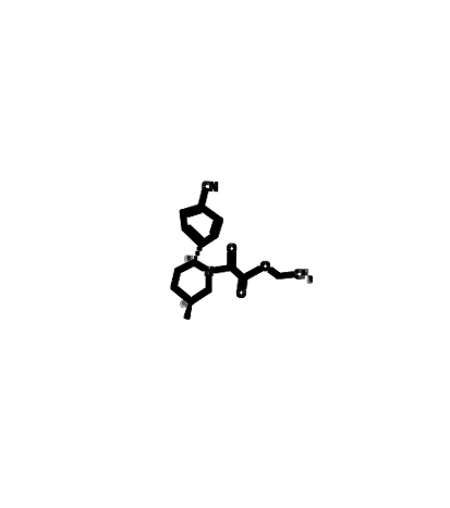 C[C@H]1CC[C@H](c2ccc(C#N)cc2)N(C(=O)C(=O)OCC(F)(F)F)C1